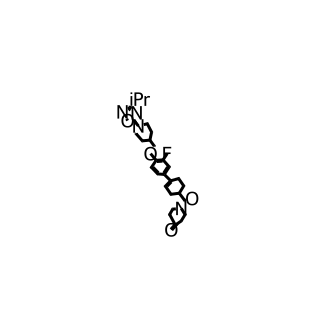 CC(C)c1noc(N2CCC(COc3ccc(C4=CCC(C(=O)N5CCC(=O)CC5)CC4)cc3F)CC2)n1